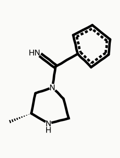 C[C@@H]1CN(C(=N)c2ccccc2)CCN1